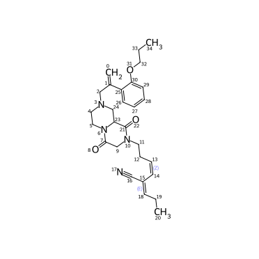 C=C(CN1CCN2C(=O)CN(CC/C=C\C(C#N)=C/CC)C(=O)C2C1)c1ccccc1OCCC